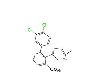 COC1=CC[CH]C(c2ccc(Cl)c(Cl)c2)=C1c1ccc(C)cc1